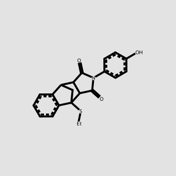 CCSC12CC(c3ccccc31)C1C(=O)N(c3ccc(O)cc3)C(=O)C12